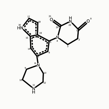 O=C1CCN(c2cc(N3CCNCC3)cc3[nH]ccc23)C(=O)N1